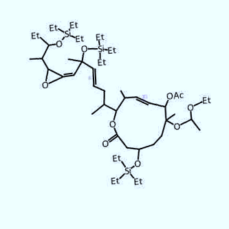 CCOC(C)OC1(C)CCC(O[Si](CC)(CC)CC)CC(=O)OC(C(C)C/C=C/C(C)(C=C2OC2C(C)C(CC)O[Si](CC)(CC)CC)O[Si](CC)(CC)CC)C(C)/C=C/C1OC(C)=O